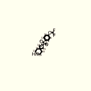 O=S(=O)(c1ccc(OC(F)F)cc1)N1CC2(CCNCC2)C1